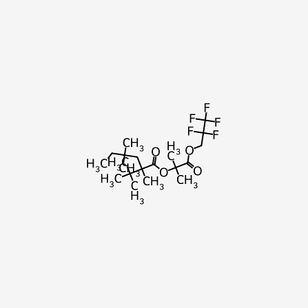 CCC(C)(C)CC(C)(C(=O)OC(C)(C)C(=O)OCC(F)(F)C(F)(F)F)C(C)(C)C